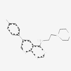 Fc1ccc(-c2cnc3ncnc(NCCN4CCOCC4)c3c2)cc1